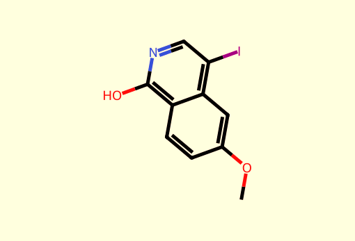 COc1ccc2c(O)ncc(I)c2c1